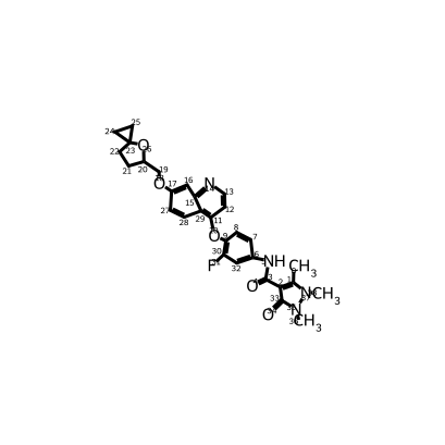 Cc1c(C(=O)Nc2ccc(Oc3ccnc4cc(OCC5CCC6(CC6)O5)ccc34)c(F)c2)c(=O)n(C)n1C